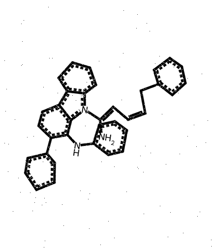 N/C(=C\C=C/Cc1ccccc1)n1c2ccccc2c2ccc(-c3ccccc3)c(Nc3ccccc3)c21